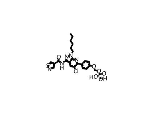 CCCCCCn1nc(NC(=O)c2cnsc2)c2cc(Cl)c(-c3ccc(OCOP(=O)(O)O)cc3)nc21